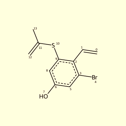 C=Cc1c(Br)cc(O)cc1SC(=C)C